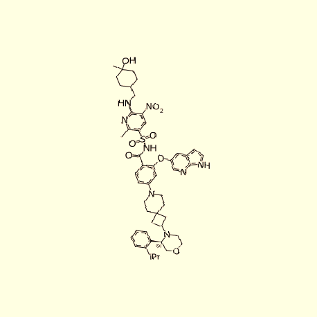 Cc1nc(NCC2CCC(C)(O)CC2)c([N+](=O)[O-])cc1S(=O)(=O)NC(=O)c1ccc(N2CCC3(CC2)CC(N2CCOC[C@H]2c2ccccc2C(C)C)C3)cc1Oc1cnc2[nH]ccc2c1